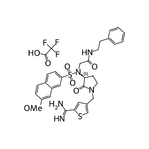 COc1ccc2ccc(S(=O)(=O)N(CC(=O)NCCc3ccccc3)[C@H]3CCN(Cc4csc(C(=N)N)c4)C3=O)cc2c1.O=C(O)C(F)(F)F